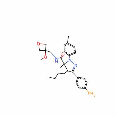 CCCCC1C(c2ccc(P)cc2)=NN(c2ccc(C)cc2)C1(C)C(=O)NCC1(OC)COC1